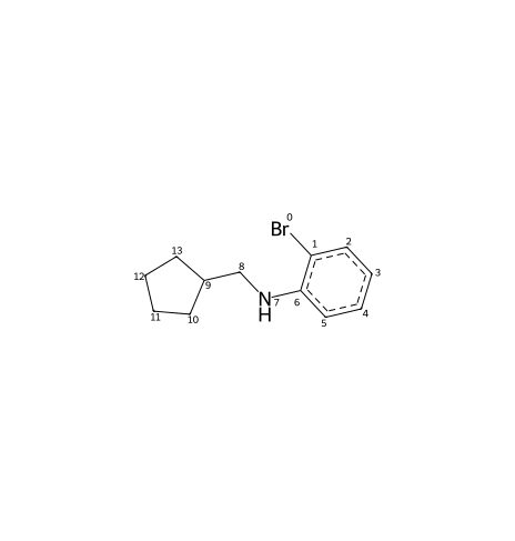 Brc1ccccc1NCC1CCCC1